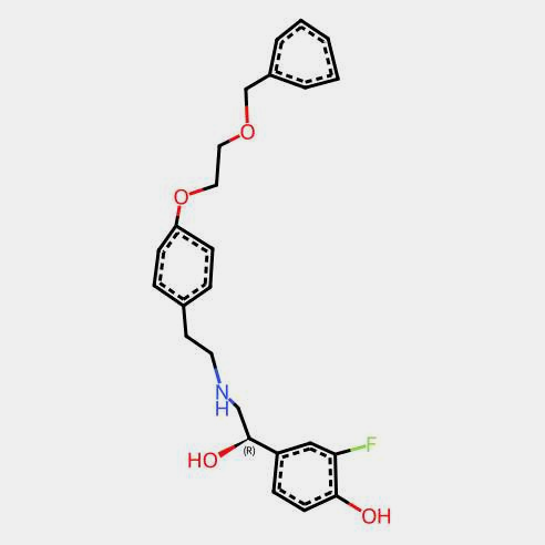 Oc1ccc([C@@H](O)CNCCc2ccc(OCCOCc3ccccc3)cc2)cc1F